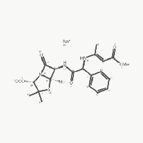 COC(=O)C=C(C)NC(C(=O)N[C@@H]1C(=O)N2[C@@H]1SC(C)(C)[C@@H]2C(=O)[O-])c1ccccc1.[Na+]